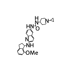 COc1cccc2c1C(Nc1ccc3cc(NC(=O)NC4CCN(C5CC5)CC4)ccc3n1)CC2